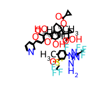 CC1(CC2(C(=O)O)CC2)[C@@H](OC(=O)C2CC2)CC[C@]2(C)[C@@H]3C(Oc4cc(-c5cccnc5)oc(=O)c4[C@@H]3O)C(O)C[C@@H]12.Cc1cc(F)c(-n2nc(C(F)(F)F)nc2N)cc1[S+]([O-])CC(F)(F)F